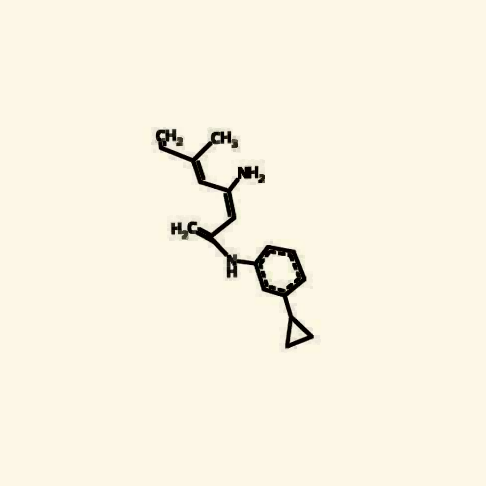 C=C/C(C)=C/C(N)=C\C(=C)Nc1cccc(C2CC2)c1